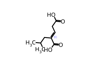 CC(C)C/C(=C\CC(=O)O)C(=O)O